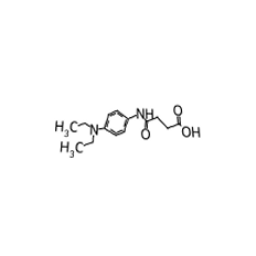 CCN(CC)c1ccc(NC(=O)CCC(=O)O)cc1